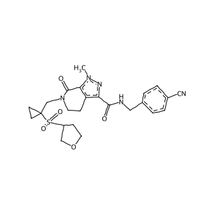 Cn1nc(C(=O)NCc2ccc(C#N)cc2)c2c1C(=O)N(CC1(S(=O)(=O)C3CCOC3)CC1)CC2